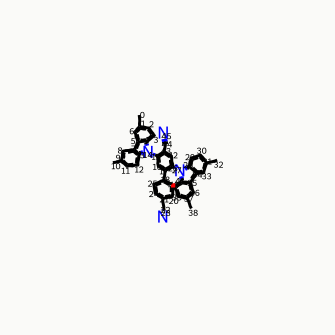 Cc1ccc2c(c1)c1cc(C)ccc1n2-c1cc(-c2ccc(C#N)cc2)c(-n2c3ccc(C)cc3c3cc(C)ccc32)cc1C#N